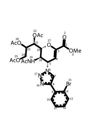 COC(=O)C1=C[C@H](n2cc(-c3ccccc3Br)nn2)[C@@H](NC(C)=O)[C@H]([C@H](OC(C)=O)C(COC(C)=O)OC(C)=O)O1